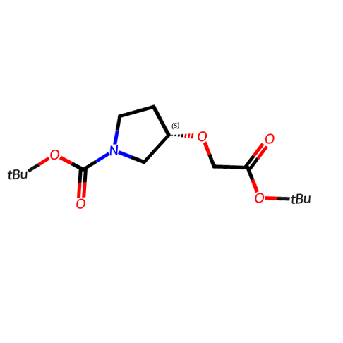 CC(C)(C)OC(=O)CO[C@H]1CCN(C(=O)OC(C)(C)C)C1